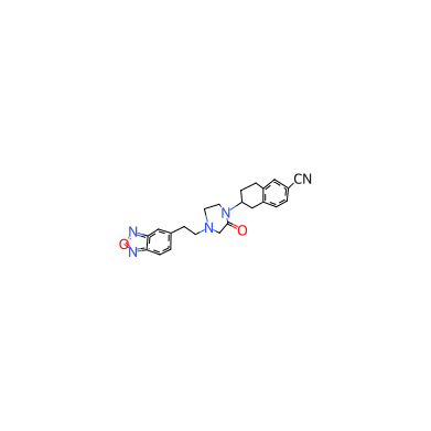 N#Cc1ccc2c(c1)CCC(N1CCN(CCc3ccc4nonc4c3)CC1=O)C2